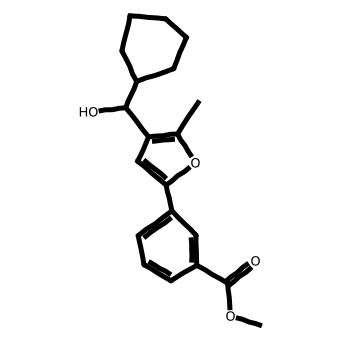 COC(=O)c1cccc(-c2cc(C(O)C3CCCCC3)c(C)o2)c1